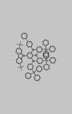 CC(C)(C)c1ccc2c3ccc(C(C)(C)C)cc3n(-c3cc4c5c(c3)N(c3cccc([Si](c6ccccc6)(c6ccccc6)c6ccccc6)c3)c3ccc([Si](c6ccccc6)(c6ccccc6)c6ccccc6)cc3B5c3cc([Si](c5ccccc5)(c5ccccc5)c5ccccc5)ccc3N4c3ccc(-c4ccccc4)cc3)c2c1